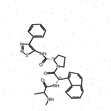 CNC(C)C(=O)N[C@H](C(=O)N1CCC[C@H]1C(=O)Nc1snnc1-c1ccccc1)c1cccc2ccccc12